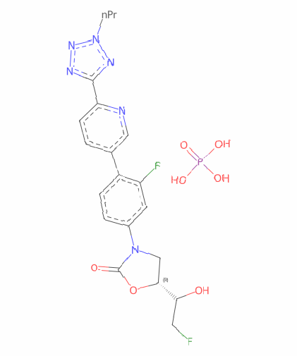 CCCn1nnc(-c2ccc(-c3ccc(N4C[C@H](C(O)CF)OC4=O)cc3F)cn2)n1.O=P(O)(O)O